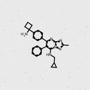 Cc1nc2nc(-c3ccc(C4(N)CCC4)cc3)c(-c3ccccc3)c(NCC3CC3)n2n1